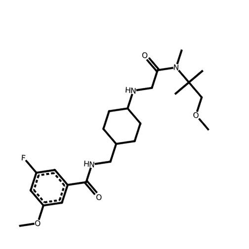 COCC(C)(C)N(C)C(=O)CNC1CCC(CNC(=O)c2cc(F)cc(OC)c2)CC1